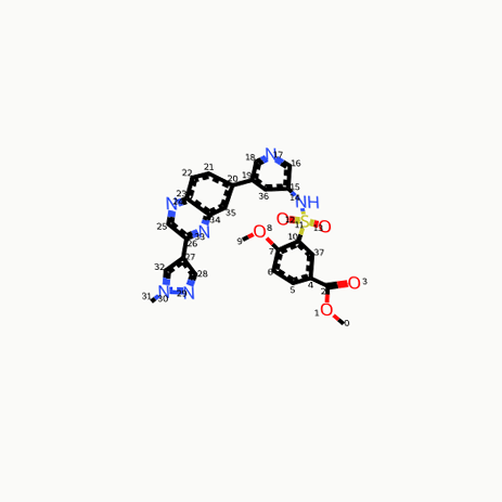 COC(=O)c1ccc(OC)c(S(=O)(=O)Nc2cncc(-c3ccc4ncc(-c5cnn(C)c5)nc4c3)c2)c1